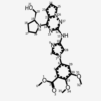 COC(=O)c1cc(-n2cnc(Nc3nc(N4CCC[C@H]4CO)c4cccn4n3)c2)cc(OC)c1OC